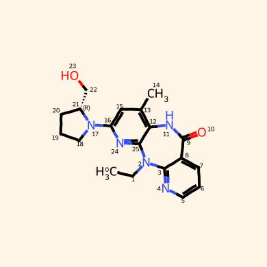 CCN1c2ncccc2C(=O)Nc2c(C)cc(N3CCC[C@@H]3CO)nc21